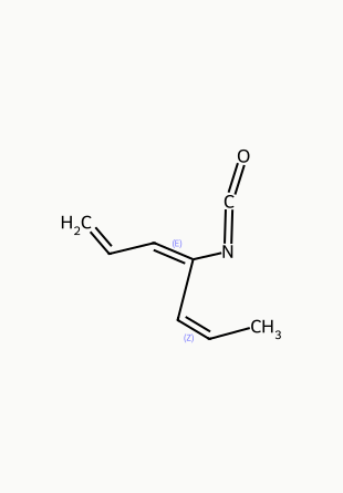 C=C/C=C(\C=C/C)N=C=O